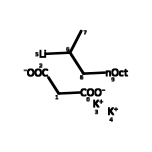 O=C([O-])CC(=O)[O-].[K+].[K+].[Li][CH](C)CCCCCCCCC